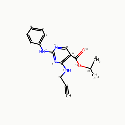 C#CCNc1nc(Nc2ccccc2)ncc1C(=O)OC(C)C